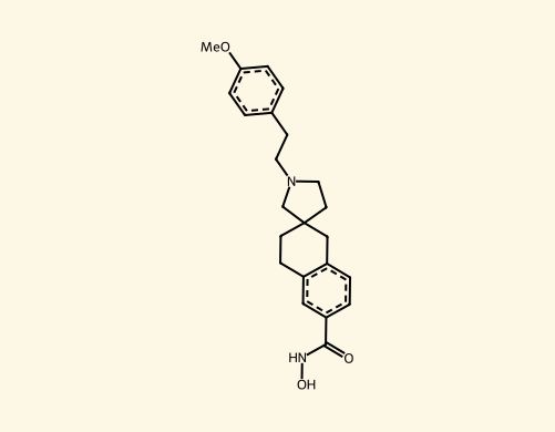 COc1ccc(CCN2CCC3(CCc4cc(C(=O)NO)ccc4C3)C2)cc1